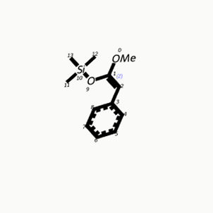 CO/C(=C/c1ccccc1)O[Si](C)(C)C